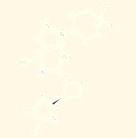 Cc1nc([C@@H]2CC[C@H]2c2nc3c(cnn3C3CCC(F)(F)CC3)c(=O)[nH]2)cs1